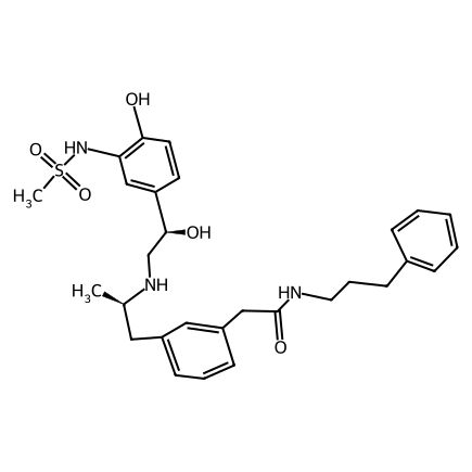 C[C@H](Cc1cccc(CC(=O)NCCCc2ccccc2)c1)NC[C@H](O)c1ccc(O)c(NS(C)(=O)=O)c1